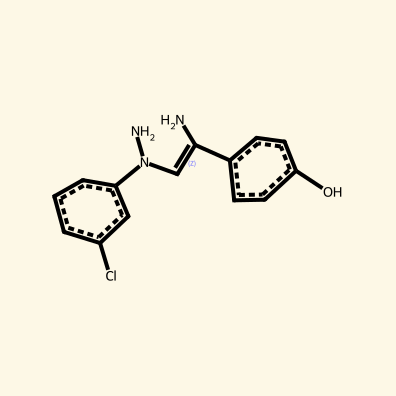 N/C(=C\N(N)c1cccc(Cl)c1)c1ccc(O)cc1